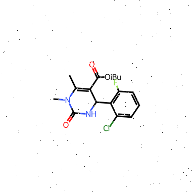 CC1=C(C(=O)OCC(C)C)C(c2c(F)cccc2Cl)NC(=O)N1C